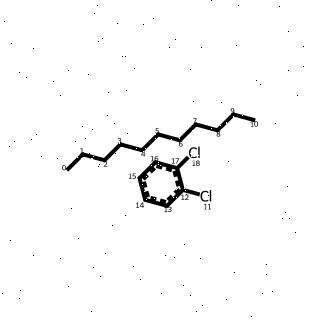 CCCCCCCCCCC.Clc1ccccc1Cl